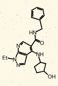 CCn1ncc2c(NC3CCC(O)C3)c(C(=O)NCc3ccccc3)cnc21